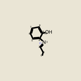 CC/C=N/c1ccccc1O